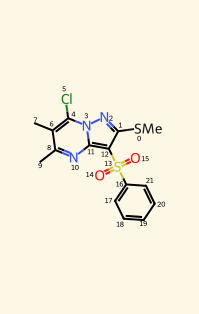 CSc1nn2c(Cl)c(C)c(C)nc2c1S(=O)(=O)c1ccccc1